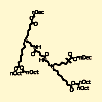 CCCCCCCCCCCOC(=O)CCCCCN(CCCCCCCC(=O)OC(CCCCCCCC)CCCCCCCC)CCNC(=O)CCC(=O)NCCN(CCCCCCCC(=O)OC(CCCCCCCC)CCCCCCCC)CCCCC(C)(C)C(=O)OCCCCCCCCCCC